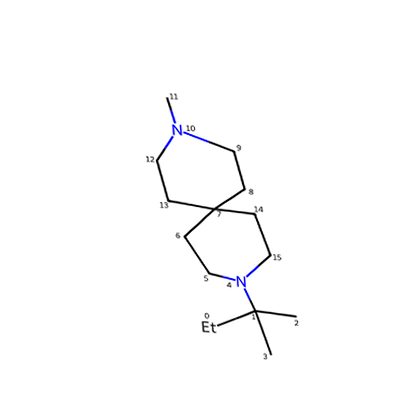 CCC(C)(C)N1CCC2(CCN(C)CC2)CC1